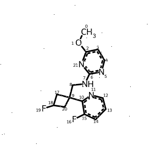 COc1ccnc(NCC2(c3ncccc3F)CC(F)C2)n1